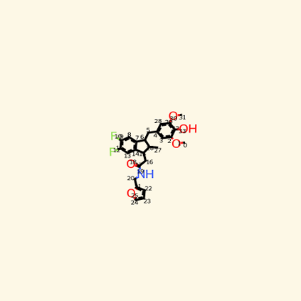 COc1cc(CC2c3cc(F)c(F)cc3C(CC(=O)NCc3ccco3)C2C)cc(OC)c1O